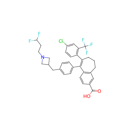 O=C(O)c1ccc2c(c1)CCCC(c1ccc(Cl)cc1C(F)(F)F)=C2c1ccc(CC2CN(CCC(F)F)C2)cc1